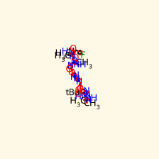 Cc1n[nH]c(Nc2ncnc3cc(OCCCN4CCN(c5ncc(OCC6CN(C[C@H]7CN[C@H](C)CN7CC(=O)N7CC(C)(C)c8[nH]c(=O)c(Cc9ccc(F)cc9)cc87)CCO6)cn5)CC4)c(S(=O)(=O)C(C)(C)C)cc23)c1C